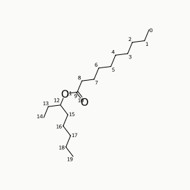 CCCCCCCCCC(=O)OC(CC)CCCCC